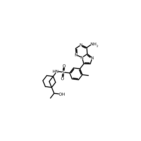 Cc1ccc(S(=O)(=O)NC23CCCC(C(C)O)(C2)C3)cc1-c1cnc2c(N)ncnn12